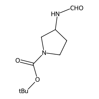 CC(C)(C)OC(=O)N1CCC(NC=O)C1